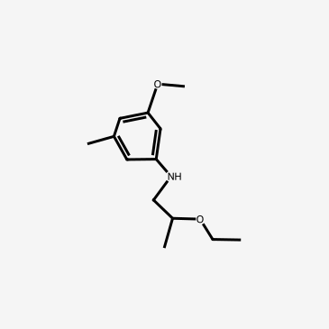 CCOC(C)CNc1cc(C)cc(OC)c1